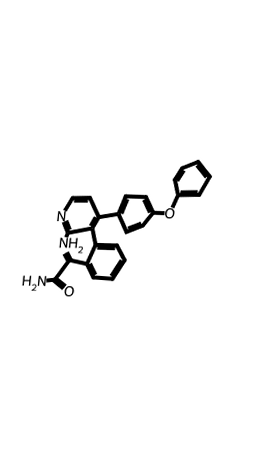 C=C(C(N)=O)c1ccccc1-c1c(-c2ccc(Oc3ccccc3)cc2)ccnc1N